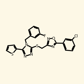 Fc1cccc(Cn2c(SCc3noc(-c4cccc(Cl)c4)n3)nnc2-c2cccs2)c1